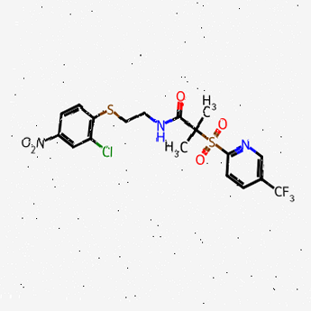 CC(C)(C(=O)NCCSc1ccc([N+](=O)[O-])cc1Cl)S(=O)(=O)c1ccc(C(F)(F)F)cn1